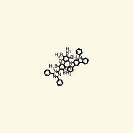 Bc1c(B)c(-n2c3ccccc3c3cc4c5ccccc5n(-c5ccccc5)c4cc32)c2c(oc3c(B)c(-c4nc(-c5ccccc5)nc(-c5ccccc5)n4)c(B)c(B)c32)c1B